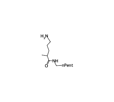 CCCCCCNC(=O)C(C)CCCN